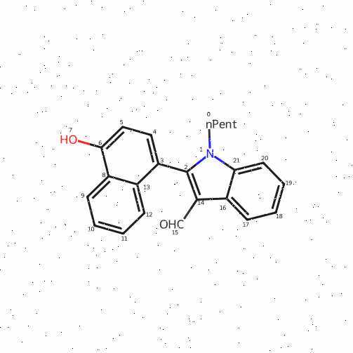 CCCCCn1c(-c2ccc(O)c3ccccc23)c(C=O)c2ccccc21